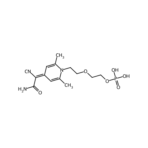 [C-]#[N+]C(C(N)=O)=C1C=C(C)N(CCOCCOP(=O)(O)O)C(C)=C1